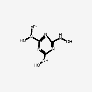 CCCN(O)c1nc(NO)nc(NO)n1